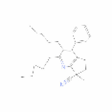 CCCCCc1nc2c(c(-c3ccccc3)c1CCCCC)CCC2(C)C#N